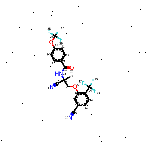 CC(C#N)(COc1cc(C#N)ccc1C(F)(F)F)NC(=O)c1ccc(OC(F)(F)F)cc1